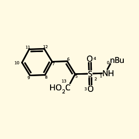 CCCCNS(=O)(=O)/C(=C/c1ccccc1)C(=O)O